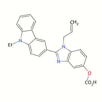 C=CCn1c(-c2ccc3c(c2)c2ccccc2n3CC)nc2cc(OC(=O)O)ccc21